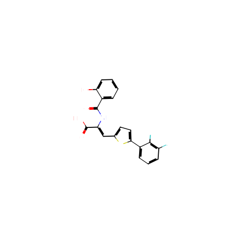 O=C(O)/C(=C/c1ccc(-c2cccc(F)c2F)s1)NC(=O)c1ccccc1O